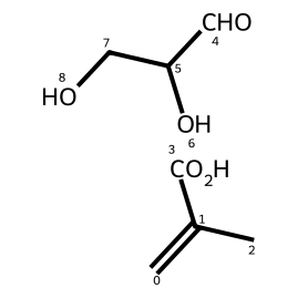 C=C(C)C(=O)O.O=CC(O)CO